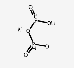 O=[PH]([O-])O[PH](=O)O.[K+]